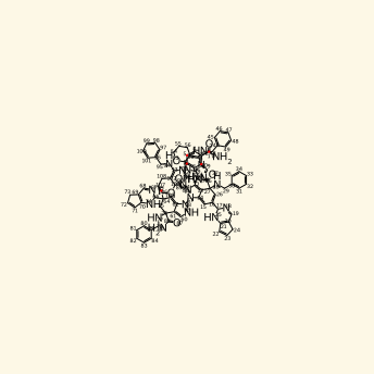 NC(=O)c1cccc2c1C=N[N+]2(C1=C2C(=CC(C3N=CC4=C(C=CC4)N3)=CC2(NCc2ccccc2)C(=O)Nc2nc(NCc3ccccc3)c3c(n2)OCCC3)N(N2NC=C3C2=CC(F)(C2N=CC4=C(C=CC4)N2)CC3(NCc2ccccc2)C(N)=O)N1CO)c1nc(NCc2ccccc2)c2c(n1)OCCC2